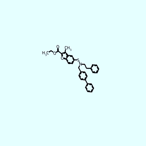 CCOC(=O)c1oc2ccc(SN(CCc3ccccc3)Cc3ccc(-c4ccccc4)cc3)cc2c1C